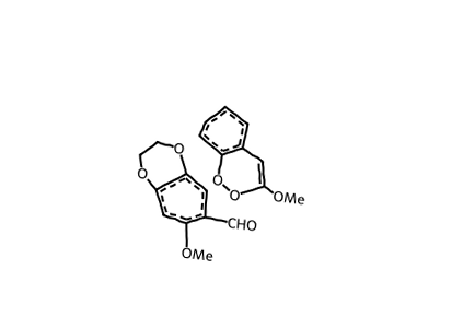 COC1=Cc2ccccc2OO1.COc1cc2c(cc1C=O)OCCO2